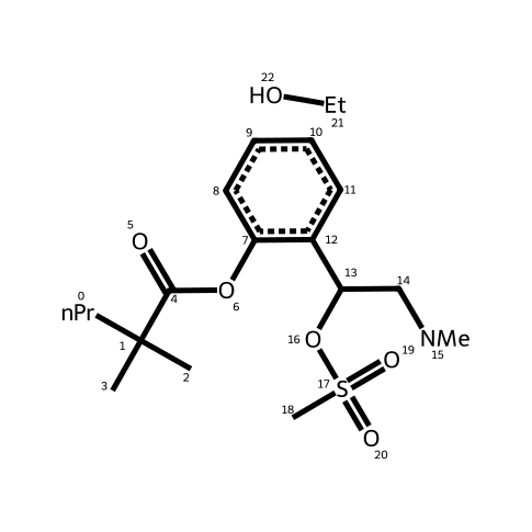 CCCC(C)(C)C(=O)Oc1ccccc1C(CNC)OS(C)(=O)=O.CCO